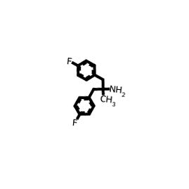 CC(N)(Cc1ccc(F)cc1)Cc1ccc(F)cc1